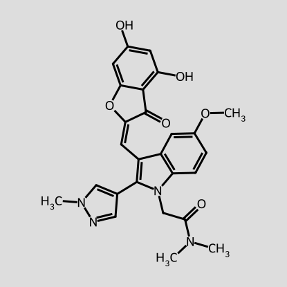 COc1ccc2c(c1)c(C=C1Oc3cc(O)cc(O)c3C1=O)c(-c1cnn(C)c1)n2CC(=O)N(C)C